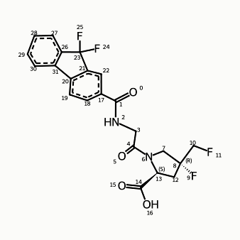 O=C(NCC(=O)N1C[C@@](F)(CF)C[C@H]1C(=O)O)c1ccc2c(c1)C(F)(F)c1ccccc1-2